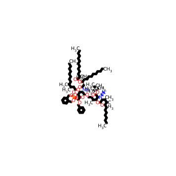 CCCCCCCCCCCC(C)C(=O)O[C@@H](CC(=O)NC1[C@H](OCC2OC(O[Si](C)(C)C(C)(C)C)C(N=[N+]=[N-])[C@@H](OC(=O)C[C@H](C)C(C)CCCCCCCCC)[C@@H]2C)OC(COCc2ccccc2)[C@@H](OP2(=O)OCc3ccccc3CO2)[C@@H]1OC(=O)C[C@H](C)C(C)CCCCCCCCC)C(C)CCCCCCCCC